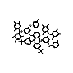 Cc1cccc(Sc2cc(N(c3cc(C)c(C)cc3C)c3cc(C)c(C)cc3C)cc(N3c4cc(C(C)(C)C)ccc4B4c5ccc(C(C)(C)C)cc5N(c5cc(Sc6cccc(C)c6)cc(N(c6cc(C)c(C)cc6C)c6cc(C)c(C)cc6C)c5)c5cccc3c54)c2)c1